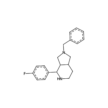 Fc1ccc(C2NCCC3CN(Cc4ccccc4)CC32)cc1